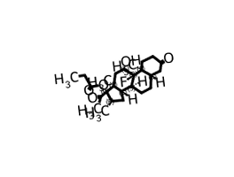 CCC(=O)O[C@]1(C(C)=O)[C@H](C)C[C@H]2[C@@H]3CC[C@H]4CC(=O)CC[C@]4(C)[C@@]3(F)[C@@H](O)C[C@@]21C